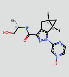 CC(C)(C)[C@@H](CO)NC(=O)c1nn(-c2c[n+]([O-])ccn2)c2c1C[C@@H]1C[C@H]21